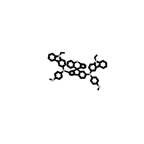 CCn1c2ccccc2c2cc(N(c3ccc(OC)cc3)c3ccc4c(c3)C3(c5ccccc5Sc5ccccc53)c3cc(N(c5ccc(OC)cc5)c5ccc6c(c5)c5ccccc5n6CC)ccc3-4)ccc21